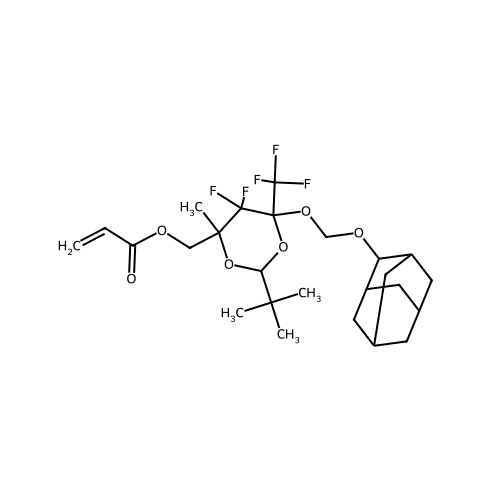 C=CC(=O)OCC1(C)OC(C(C)(C)C)OC(OCOC2C3CC4CC(C3)CC2C4)(C(F)(F)F)C1(F)F